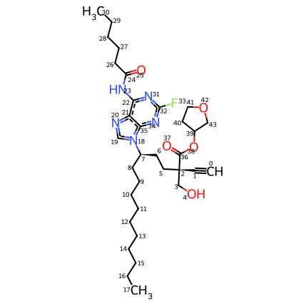 C#C[C@@](CO)(CC[C@@H](CCCCCCCCCC)n1cnc2c(NC(=O)CCCCC)nc(F)nc21)C(=O)OC1CCOC1